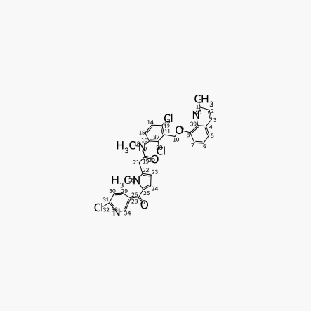 Cc1ccc2cccc(OCc3c(Cl)ccc(N(C)C(=O)Cc4ccc(C(=O)c5ccc(Cl)nc5)n4C)c3Cl)c2n1